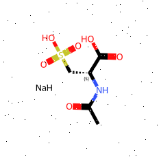 CC(=O)N[C@H](CS(=O)(=O)O)C(=O)O.[NaH]